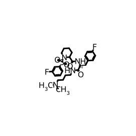 CN(C)CCCCNC(=O)[C@H](Cc1ccc(F)cc1)NC(=O)C1CCCCN1S(=O)(=O)c1cccc(F)c1